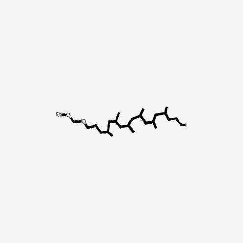 CCOCOCCCC(C)CC(C)CC(C)CC(C)CC(C)CC(C)CCCI